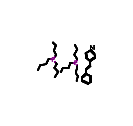 C(=Cc1ccccc1)c1ccccc1.CCCCP(CCCC)CCCC.CCCCP(CCCC)CCCC.[Ni]